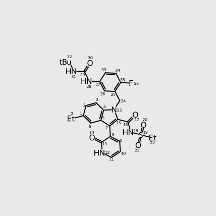 CCc1ccc2c(c1)c(-c1ccc[nH]c1=O)c(C(=O)NS(=O)(=O)CC)n2Cc1cc(NC(=O)NC(C)(C)C)ccc1F